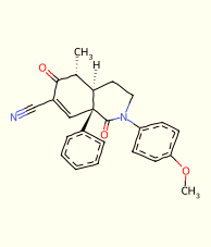 COc1ccc(N2CC[C@@H]3[C@@H](C)C(=O)C(C#N)=C[C@@]3(c3ccccc3)C2=O)cc1